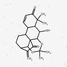 C=C1C(=O)C23C4CCC1C2OC(C)(C)OC3C(O)C1C4C=CC(=O)C1(C)C